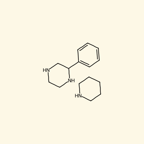 C1CCNCC1.c1ccc(C2CNCCN2)cc1